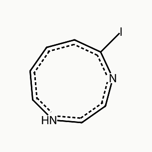 Ic1cccc[nH]ccn1